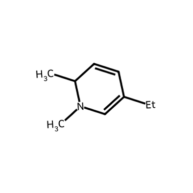 CCC1=CN(C)C(C)C=C1